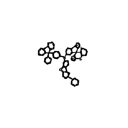 c1ccc(-c2ccc3oc4cc(N(c5ccc(C6(c7ccccc7)c7ccccc7-c7ccccc76)cc5)c5ccc6c(c5)C5(c7ccccc7Sc7ccccc75)c5ccccc5-6)ccc4c3c2)cc1